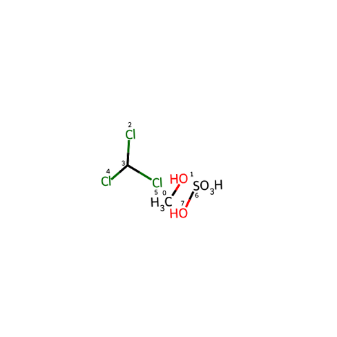 CO.ClC(Cl)Cl.O=S(=O)(O)O